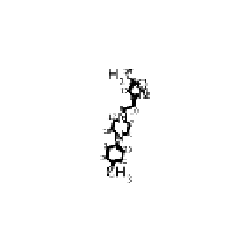 Cc1ccc(N2CCN(CCc3cc(C)on3)CC2)cc1